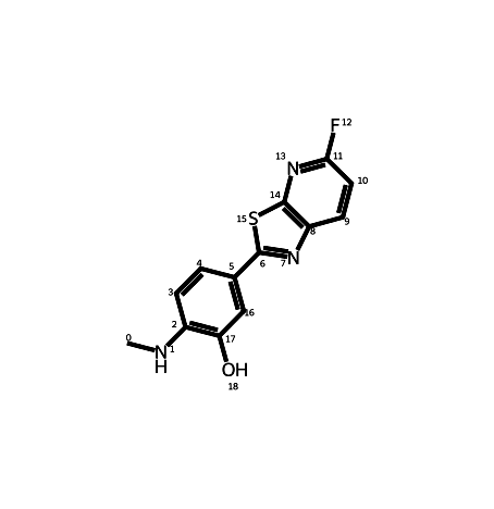 CNc1ccc(-c2nc3ccc(F)nc3s2)cc1O